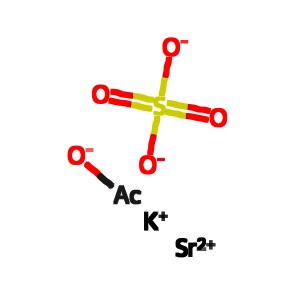 CC(=O)[O-].O=S(=O)([O-])[O-].[K+].[Sr+2]